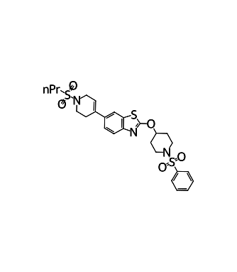 CCCS(=O)(=O)N1CC=C(c2ccc3nc(OC4CCN(S(=O)(=O)c5ccccc5)CC4)sc3c2)CC1